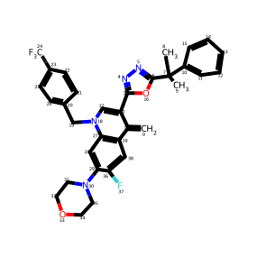 C=C1C(c2nnc(C(C)(C)c3ccccc3)o2)=CN(Cc2ccc(C(F)(F)F)cc2)c2cc(N3CCOCC3)c(F)cc21